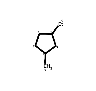 [CH2]CC1C[CH]C(C)C1